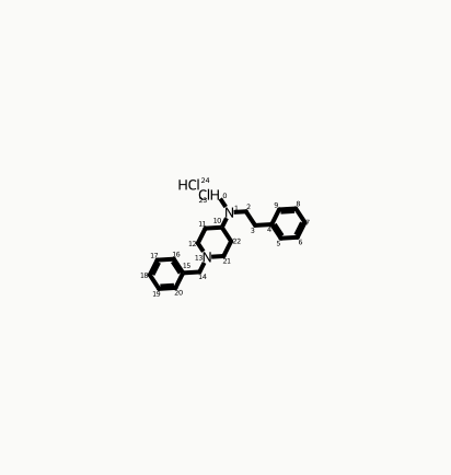 CN(CCc1ccccc1)C1CCN(Cc2ccccc2)CC1.Cl.Cl